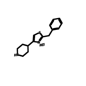 Cl.c1ccc(Cc2nc(C3CCNCC3)cs2)cc1